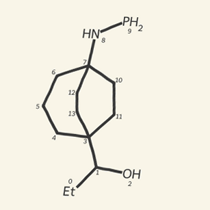 CCC(O)C12CCCC(NP)(CC1)CC2